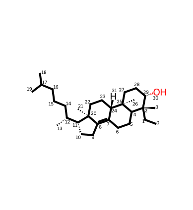 CC[C@]1(C)C2CCC3=C4CC[C@H]([C@H](C)CCCC(C)C)[C@@]4(C)CC[C@@H]3[C@@]2(C)CC[C@@H]1O